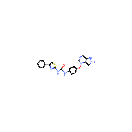 O=C(Nc1ccc(ON2C=NC=C3NNC=C32)cc1)Nc1nc(-c2ccccc2)cs1